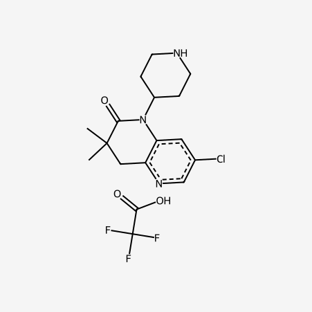 CC1(C)Cc2ncc(Cl)cc2N(C2CCNCC2)C1=O.O=C(O)C(F)(F)F